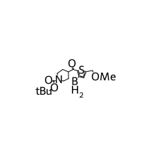 Bc1cc(COC)sc1C(=O)C1CCN(C(=O)OC(C)(C)C)CC1